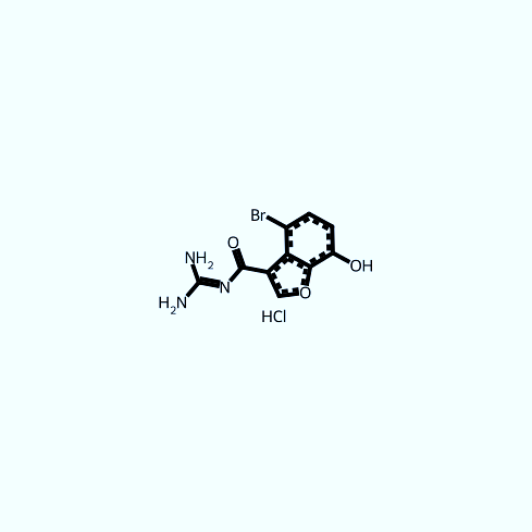 Cl.NC(N)=NC(=O)c1coc2c(O)ccc(Br)c12